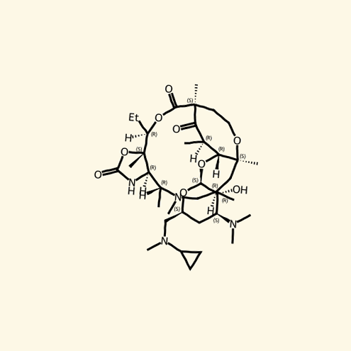 CC[C@H]1OC(=O)[C@@]2(C)CCO[C@@](C)(C[C@@H](C)CN(C)[C@H](C)[C@H]3NC(=O)O[C@@]31C)[C@H](O[C@@H]1O[C@H](CN(C)C3CC3)C[C@H](N(C)C)[C@H]1O)[C@@H](C)C2=O